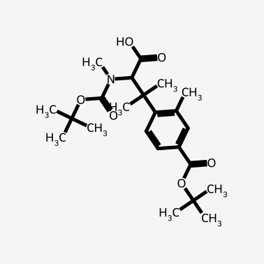 Cc1cc(C(=O)OC(C)(C)C)ccc1C(C)(C)C(C(=O)O)N(C)C(=O)OC(C)(C)C